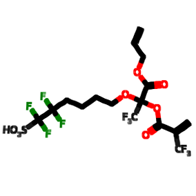 C=CCOC(=O)C(OCCCCC(F)(F)C(F)(F)S(=O)(=O)O)(OC(=O)C(=C)C(F)(F)F)C(F)(F)F